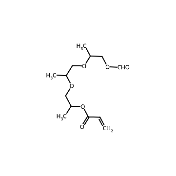 C=CC(=O)OC(C)COC(C)COC(C)COC=O